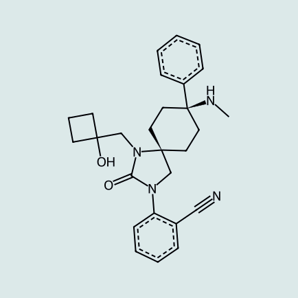 CN[C@]1(c2ccccc2)CC[C@@]2(CC1)CN(c1ccccc1C#N)C(=O)N2CC1(O)CCC1